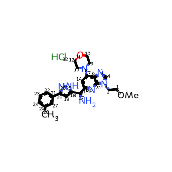 COCCn1cnc2c(N3CCOCC3)cc(C(N)c3cc(-c4cccc(C)c4)n[nH]3)nc21.Cl